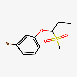 CCC(Oc1cccc(Br)c1)S(C)(=O)=O